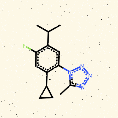 Cc1nnnn1-c1cc(C(C)C)c(F)cc1C1CC1